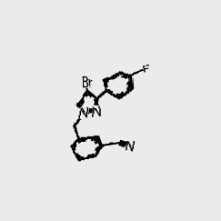 N#Cc1cccc(Cn2cc(Br)c(-c3ccc(F)cc3)n2)c1